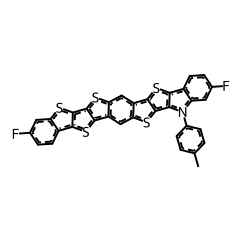 Cc1ccc(-n2c3cc(F)ccc3c3sc4c5cc6sc7c(sc8c9ccc(F)cc9sc87)c6cc5sc4c32)cc1